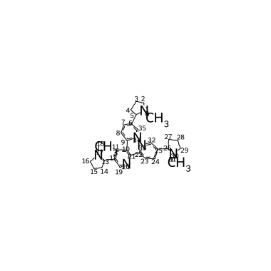 CN1CCCC1c1ccc(-c2cc(C3CCCN3C)cnc2-c2ccc(C3CCCN3C)cn2)nc1